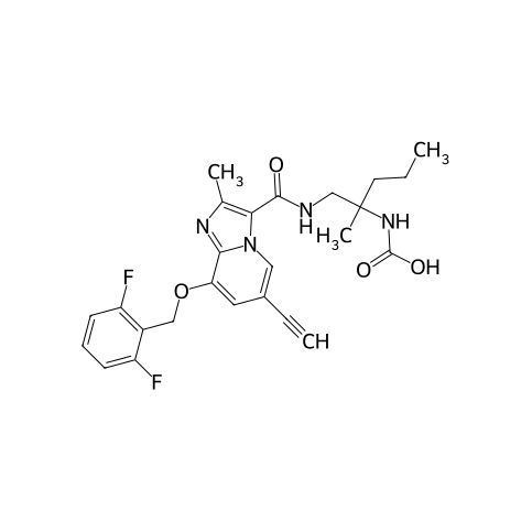 C#Cc1cc(OCc2c(F)cccc2F)c2nc(C)c(C(=O)NCC(C)(CCC)NC(=O)O)n2c1